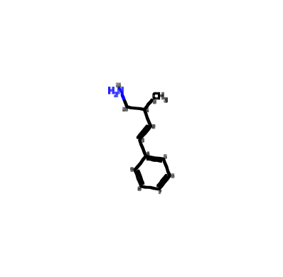 CC(C=Cc1ccccc1)CN